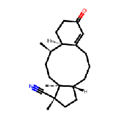 C[C@@H]1CC[C@@]2(C)[C@H](CCCC3=CC(=O)CC[C@@H]31)CC[C@]2(C)C#N